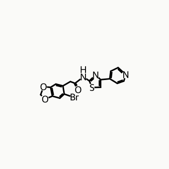 O=C(Cc1cc2c(cc1Br)OCO2)Nc1nc(-c2ccncc2)cs1